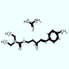 CCN(CC)C(=S)OCCC(=O)C=Cc1ccc(C)cc1.NC(O)=S